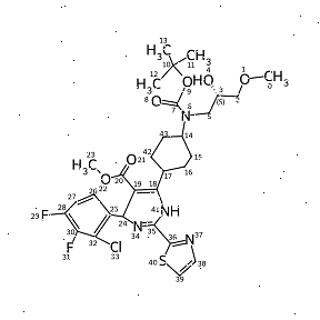 COC[C@@H](O)CN(C(=O)OC(C)(C)C)C1CCC(C2=C(C(=O)OC)C(c3ccc(F)c(F)c3Cl)N=C(c3nccs3)N2)CC1